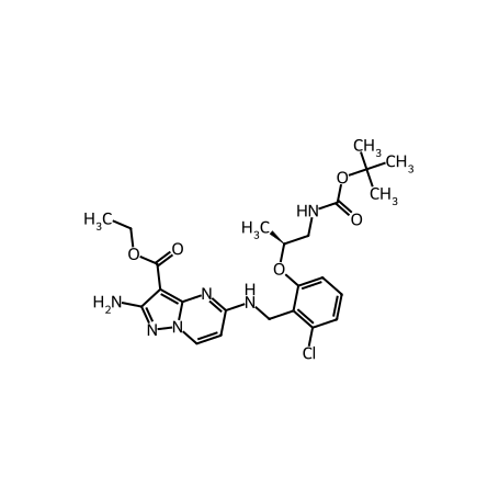 CCOC(=O)c1c(N)nn2ccc(NCc3c(Cl)cccc3O[C@@H](C)CNC(=O)OC(C)(C)C)nc12